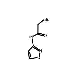 CCC(C)CC(=O)Nc1ccon1